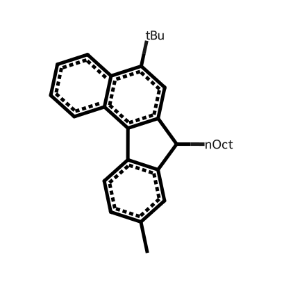 CCCCCCCCC1c2cc(C)ccc2-c2c1cc(C(C)(C)C)c1ccccc21